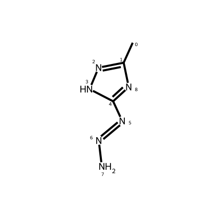 Cc1n[nH]c(N=NN)n1